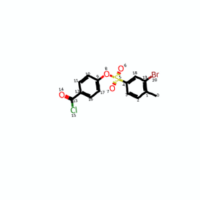 Cc1ccc(S(=O)(=O)Oc2ccc(C(=O)Cl)cc2)cc1Br